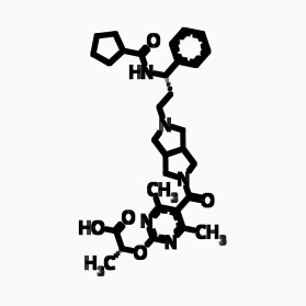 Cc1nc(O[C@H](C)C(=O)O)nc(C)c1C(=O)N1CC2CN(CC[C@H](NC(=O)C3CCCC3)c3ccccc3)CC2C1